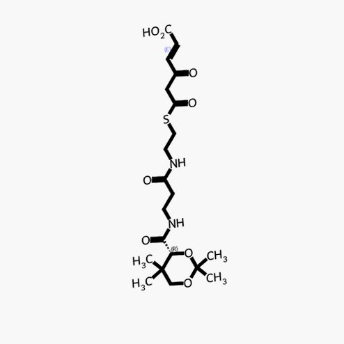 CC1(C)OCC(C)(C)[C@H](C(=O)NCCC(=O)NCCSC(=O)CC(=O)/C=C/C(=O)O)O1